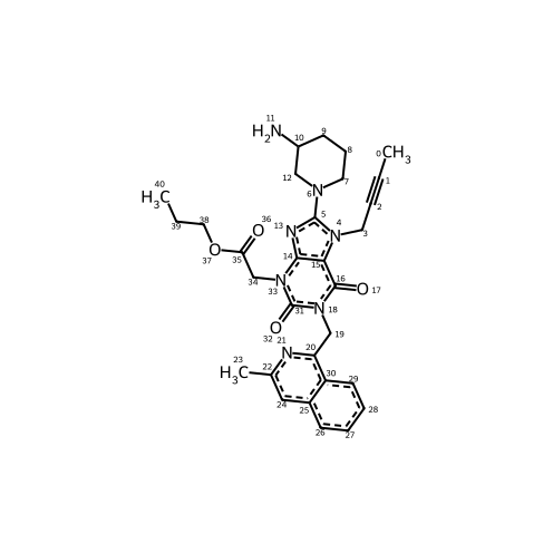 CC#CCn1c(N2CCCC(N)C2)nc2c1c(=O)n(Cc1nc(C)cc3ccccc13)c(=O)n2CC(=O)OCCC